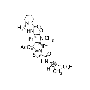 CC(=O)O[C@H](C[C@H](C(C)C)N(C)C(=O)[C@@H](NC(=O)C1CCCCN1C)C(C)C)c1nc(C(=O)NC23CC(C(=O)O)(C2)[C@@H]3C)cs1